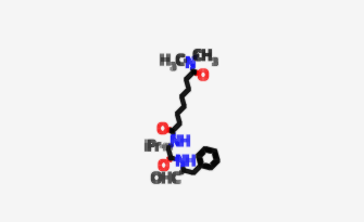 CC(C)[C@H](NC(=O)CCCCCCC(=O)N(C)C)C(=O)NC(C=O)Cc1ccccc1